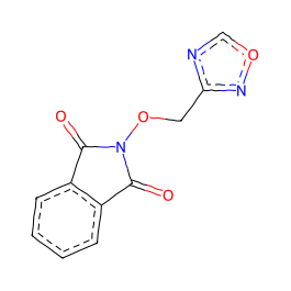 O=C1c2ccccc2C(=O)N1OCc1ncon1